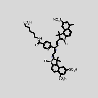 CCN1/C(=C/C=C(/C=C/C2=[N+](CC)c3ccc4c(C)cc(S(=O)(=O)O)cc4c3C2(C)C)c2ccc(C(=O)NCCCCCC(=O)O)cn2)C(C)(C)c2c1ccc1c(S(=O)(=O)O)cc(S(=O)(=O)O)cc21